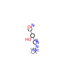 C=C/C(=C\C(=O)N(C)C)c1ccc(-c2ccc(N(C)[C@H]3C[C@]4(C)CC[C@](C)(C3)N4)nn2)c(O)c1